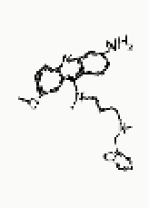 COc1ccc2nc3cc(N)ccc3c(N(C)CCCN(C)Cc3ccco3)c2c1